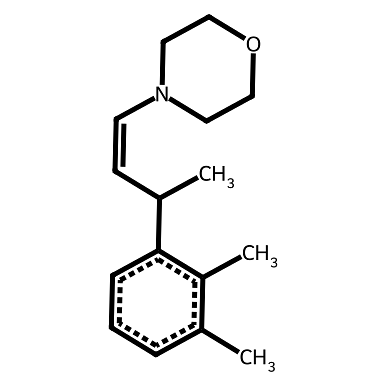 Cc1cccc(C(C)/C=C\N2CCOCC2)c1C